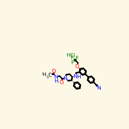 CC(=O)NCC(=O)N1CC[C@H](NCc2cc(-c3ccc(C#N)cc3)ccc2OCC(F)(F)F)[C@H](c2ccccc2)C1.Cl